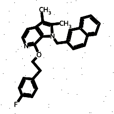 Cc1c(C)n(Cc2ccc3ccccc3c2)c2c(OCCc3ccc(F)cc3)nccc12